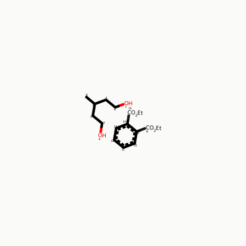 CC(CCO)CCO.CCOC(=O)c1ccccc1C(=O)OCC